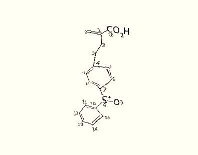 C=C(CCc1ccc([S+]([O-])c2ccccc2)cc1)C(=O)O